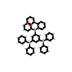 c1ccc(-c2ccccc2N(c2ccccc2)c2cc(N(c3ccccc3)c3ccccc3)cc(N(c3ccccc3)c3ccccc3)c2)cc1